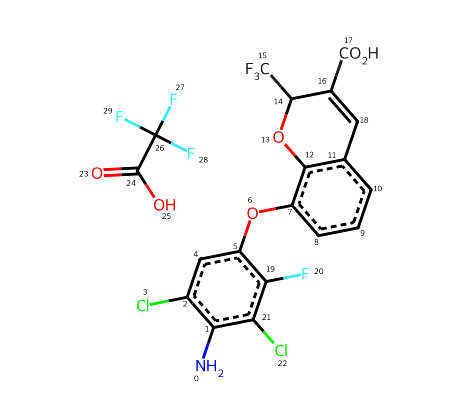 Nc1c(Cl)cc(Oc2cccc3c2OC(C(F)(F)F)C(C(=O)O)=C3)c(F)c1Cl.O=C(O)C(F)(F)F